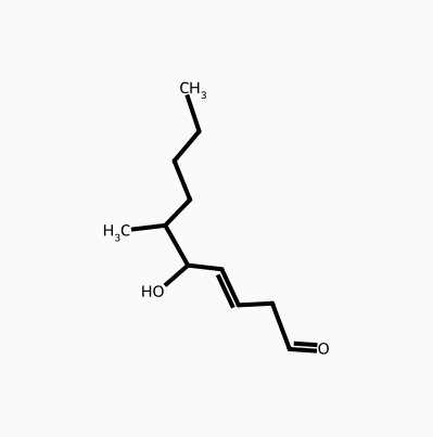 CCCCC(C)C(O)/C=C/CC=O